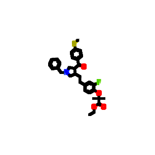 CCOC(=O)C(C)(C)Oc1ccc(CCC2CN(Cc3ccccc3)CC2C(=O)c2ccc(SC)cc2)cc1F